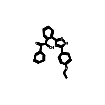 CCOc1ccc(-c2nc(-c3ccccc3C(O)C(=O)c3ccccc3)n[nH]2)cc1